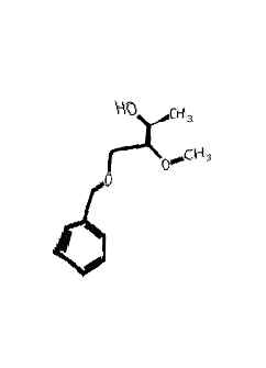 COC(COCc1ccccc1)[C@H](C)O